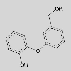 OCc1cccc(Oc2ccccc2O)c1